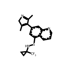 CC1=NCC(C)=C1c1cc(SNC2(C(F)(F)F)CC2)c2cccnc2c1